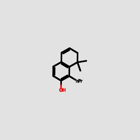 CCCc1c(O)ccc2c1C(C)(C)CC=C2